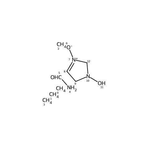 C.C.C.C.NC=O.[O-][N+]1=CCN(O)C1